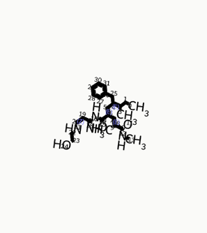 CC/C(C)=C(/C=C(\C=C(/C)C(=O)NC)C(=O)NC(=N)/C=C\NCCO)Cc1ccccc1